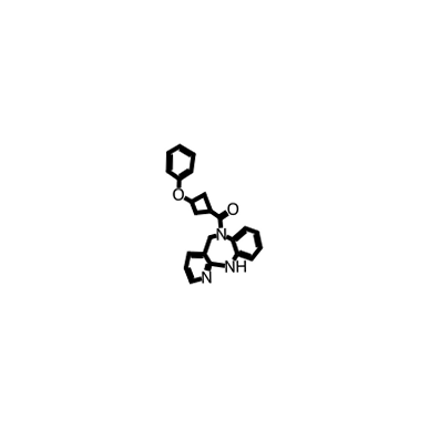 O=C(C1CC(Oc2ccccc2)C1)N1Cc2cccnc2Nc2ccccc21